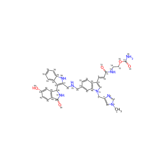 Cn1cnc(Cn2cc(C=CC(=O)NCCOC(N)=O)c3ccc(CNCc4[nH]c5ccccc5c4C4NC(=O)c5ccc(O)cc54)cc32)c1